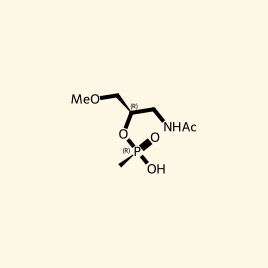 COC[C@@H](CNC(C)=O)O[P@](C)(=O)O